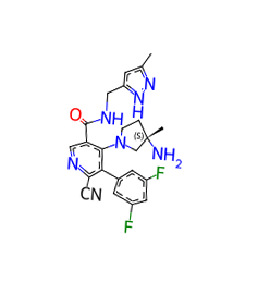 Cc1cc(CNC(=O)c2cnc(C#N)c(-c3cc(F)cc(F)c3)c2N2CC[C@](C)(N)C2)[nH]n1